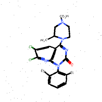 CCc1cccc(CC)c1-n1c(=O)nc(N2CCN(C(=O)O)CC2C)c2cc(Cl)c(Cl)nc21